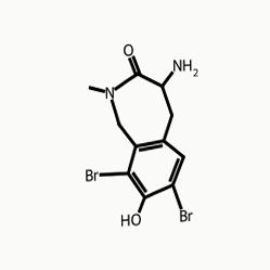 CN1Cc2c(cc(Br)c(O)c2Br)CC(N)C1=O